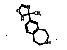 CC1(c2ccc3c(c2)CCNCC3)N=CON1